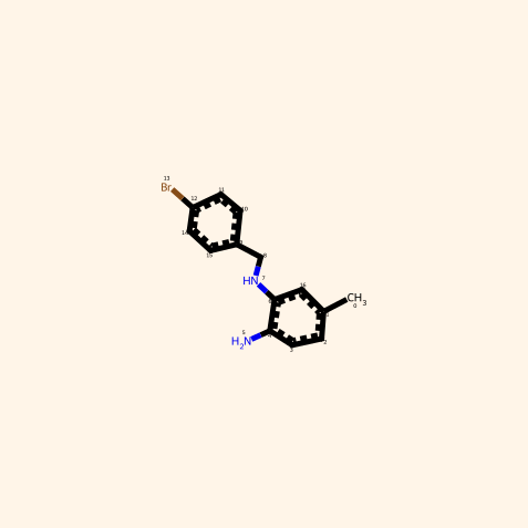 Cc1ccc(N)c(NCc2ccc(Br)cc2)c1